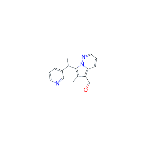 Cc1c(C=O)c2cccnn2c1C(C)c1cccnc1